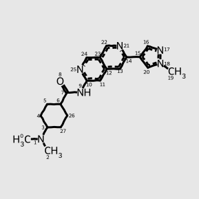 CN(C)C1CCC(C(=O)Nc2cc3cc(-c4cnn(C)c4)ncc3cn2)CC1